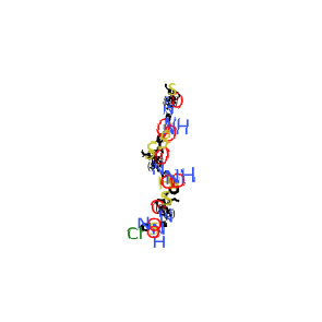 CCC1=CC2=C(CCO[C@@]23CCN(C[C@H]2C[C@@H](NS(=O)(=O)c4cncc(Cl)c4)C2)[C@@H](C)C3)[SH]1Cc1cccc(S(=O)(=O)N[C@H]2C[C@@H](CN3CC[C@]4(C[C@@H]3C)OCC(c3ccc(S(=O)(=O)N[C@H]5C[C@@H](CN6CC[C@]7(C[C@@H]6C)OCCc6sc(CC)cc67)C5)s3)c3sc(CC)cc34)C2)c1